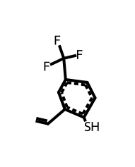 C=Cc1cc(C(F)(F)F)ccc1S